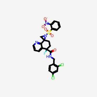 O=C(NCc1ccc(Cl)cc1Cl)C1(F)CCC2(CN2S(=O)(=O)c2ccccc2[N+](=O)[O-])c2ncccc21